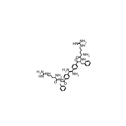 N=C(N)NCCC[C@H](N)C(=O)N[C@@H](Cc1ccccc1)C(=O)c1ccc(C(N)=C(N)c2ccc(C(=O)[C@H](Cc3ccccc3)NC(=O)[C@@H](N)CCCNC(=N)N)cc2)cc1